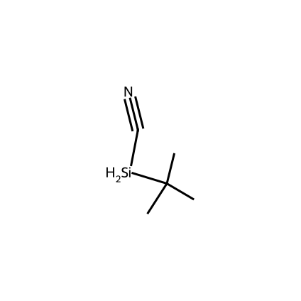 CC(C)(C)[SiH2]C#N